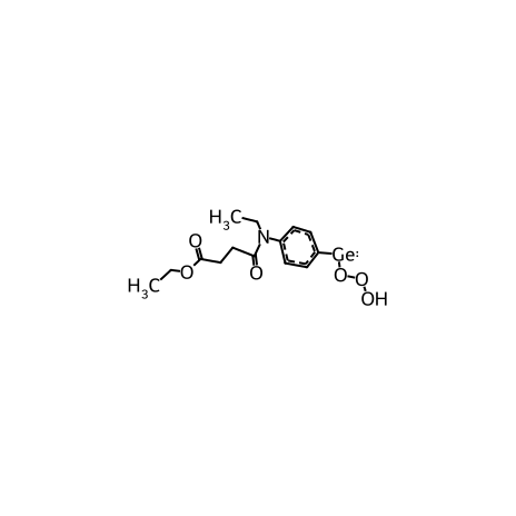 CCOC(=O)CCC(=O)N(CC)c1cc[c]([Ge][O]OO)cc1